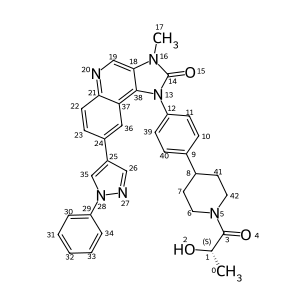 C[C@H](O)C(=O)N1CCC(c2ccc(-n3c(=O)n(C)c4cnc5ccc(-c6cnn(-c7ccccc7)c6)cc5c43)cc2)CC1